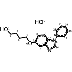 Cl.OCCCCOc1ccc2c(c1)ncn2-c1ccccc1